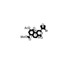 COC(=O)[C@@H]1C[C@H](OC(C)=O)C(=O)[C@H]2[C@@]1(C)CC[C@H]1C(=O)O[C@H](c3cocc3Br)C[C@]21C